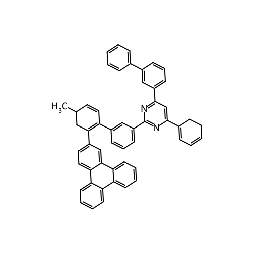 CC1C=CC(c2cccc(-c3nc(C4=CC=CCC4)cc(-c4cccc(-c5ccccc5)c4)n3)c2)=C(c2ccc3c4ccccc4c4ccccc4c3c2)C1